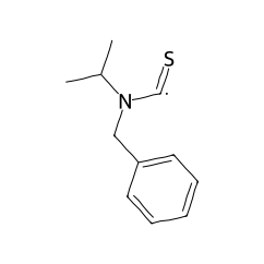 CC(C)N([C]=S)Cc1ccccc1